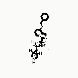 CC(C)(NC(=O)[C@H]1[C@@H]2CNC[C@@H]21)c1ncc2c(SCc3ccccc3)cccn12